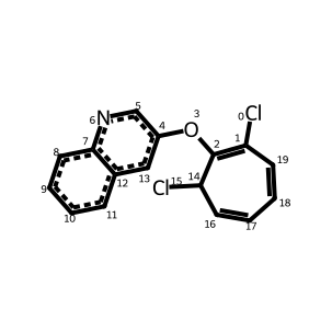 ClC1=C(Oc2cnc3ccccc3c2)C(Cl)C=CC=C1